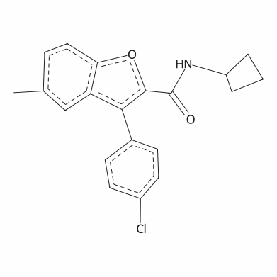 Cc1ccc2oc(C(=O)NC3CCC3)c(-c3ccc(Cl)cc3)c2c1